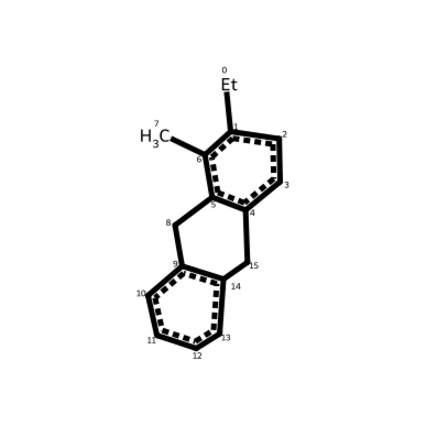 [CH2]Cc1ccc2c(c1C)Cc1ccccc1C2